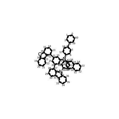 c1ccc(-c2ccc(N(c3cc(-c4cccc5oc6ccccc6c45)cc(-c4cccc5c6ccccc6n(-c6ccccc6)c45)c3)c3ccc4ccccc4c3)cc2)cc1